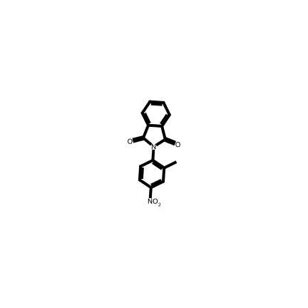 Cc1cc([N+](=O)[O-])ccc1N1C(=O)c2ccccc2C1=O